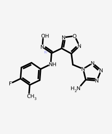 Cc1cc(N/C(=N/O)c2nonc2Cn2nnnc2N)ccc1F